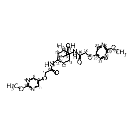 COc1ncc(OCC(=O)NC23CCC(NC(=O)COc4cnc(OC)nc4)(CC2)[C@H](O)C3)cn1